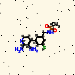 CS(=O)(=O)NCc1cc(F)cc(-c2ccnc(N)c2N)c1